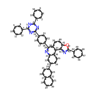 c1ccc(-c2nc(-c3ccccc3)nc(-c3ccc(-c4nc5cc(-c6ccc7ccccc7c6)ccc5c5c4ccc4oc(-c6ccccc6)nc45)cc3)n2)cc1